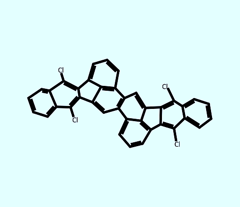 Clc1c2ccccc2c(Cl)c2c3cc4c(cc5c6c(Cl)c7ccccc7c(Cl)c6c6cccc4c65)c4cccc(c12)c43